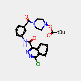 CC(C)(C)C(=O)ON1CCN(C(=O)c2cccc(NC(=O)c3nnc(Cl)c4ccccc34)c2)CC1